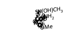 COc1ccc(-c2noc(CCCSC(=S)N(C)O)c2-c2ccc(S(N)(=O)=O)cc2)cc1F